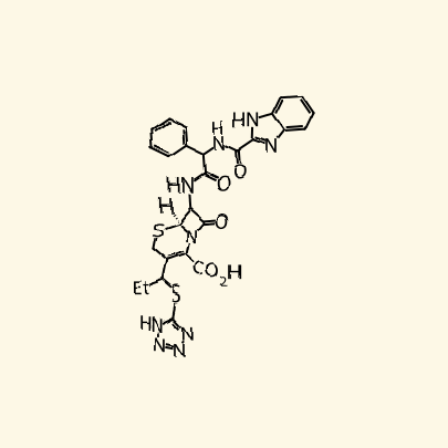 CCC(Sc1nnn[nH]1)C1=C(C(=O)O)N2C(=O)C(NC(=O)C(NC(=O)c3nc4ccccc4[nH]3)c3ccccc3)[C@@H]2SC1